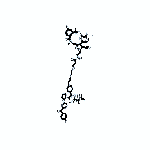 CN[C@@H](C)C(=O)N[C@H](C(=O)N1CCC[C@H]1C1=NC(C(=O)c2ccc(F)cc2)CS1)C1CCN(CCOCCOCCC(=O)NCCn2nc3c(c2C#N)-c2cnc(N)c(n2)O[C@H](C)c2cc(F)ccc2C(=O)N(C)C3)CC1